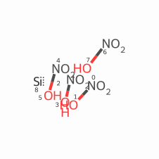 O=[N+]([O-])O.O=[N+]([O-])O.O=[N+]([O-])O.O=[N+]([O-])O.[Si]